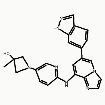 CC1(O)CN(c2ccc(Nc3cc(-c4ccc5cn[nH]c5c4)cn4ccnc34)nc2)C1